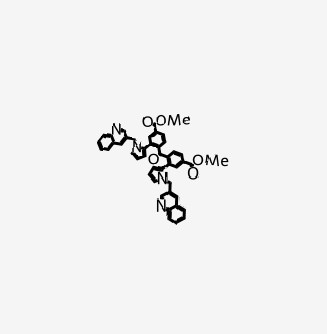 COC(=O)c1ccc(C(=O)c2ccc(C(=O)OC)cc2-c2cccn2Cc2cnc3ccccc3c2)c(-c2cccn2Cc2cnc3ccccc3c2)c1